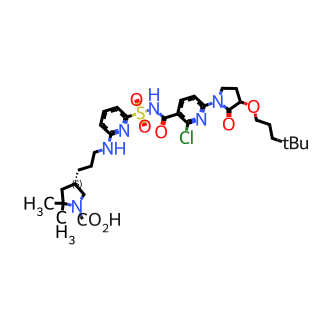 CC(C)(C)CCCOC1CCN(c2ccc(C(=O)NS(=O)(=O)c3cccc(NCCC[C@@H]4CN(C(=O)O)C(C)(C)C4)n3)c(Cl)n2)C1=O